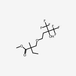 CCC(C)(COCCC(O)(C(F)(F)F)C(F)(F)F)C(=O)OC